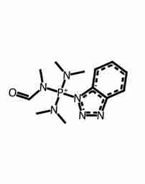 CN(C)[P+](N(C)C)(N(C)C=O)n1nnc2ccccc21